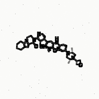 C[C@@H]1CN(C2COC2)[C@H](C)CN1c1ccc(Nc2cc(-c3ccnc(N4CCn5c(cc6c5CCCC6)C4=O)c3CO)cn(C)c2=O)nc1